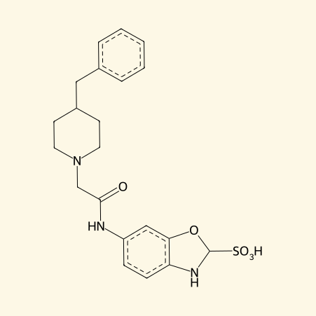 O=C(CN1CCC(Cc2ccccc2)CC1)Nc1ccc2c(c1)OC(S(=O)(=O)O)N2